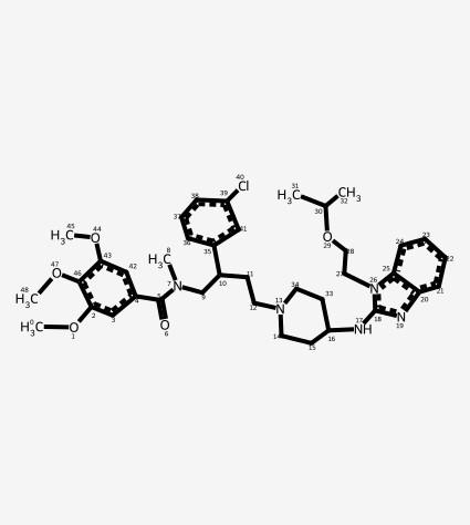 COc1cc(C(=O)N(C)CC(CCN2CCC(Nc3nc4ccccc4n3CCOC(C)C)CC2)c2cccc(Cl)c2)cc(OC)c1OC